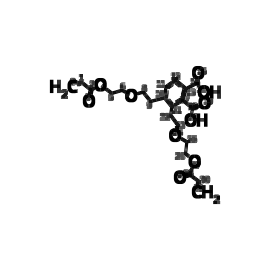 C=CC(=O)OCCOCCc1ccc(C(=O)O)c(C(=O)O)c1CCOCCOC(=O)C=C